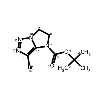 CC(C)(C)OC(=O)N1CCn2nnc(Br)c21